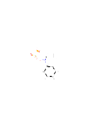 CN(O[SH](=O)=O)c1cc[c]cc1